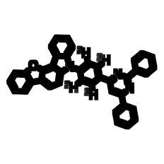 [2H]c1c([2H])c(-n2c3ccccc3c3c4oc5ccccc5c4ccc32)c([2H])c([2H])c1-c1cc(-c2ccccc2)nc(-c2ccccc2)n1